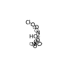 O=S(=O)(c1ccccc1OC[C@@H](O)CN1CCC2(CC1)Cc1cc(Cl)ccc1O2)N1CCCC1